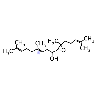 CC(C)=CCC/C(C)=C/CC(O)C1OC1(C)CCC=C(C)C